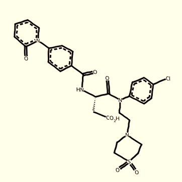 O=C(O)C[C@H](NC(=O)c1ccc(-n2ccccc2=O)cc1)C(=O)N(CCN1CCS(=O)(=O)CC1)c1ccc(Cl)cc1